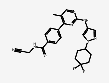 Cc1cnc(Nc2cnn(C3CCC(F)(F)CC3)c2)nc1-c1ccc(C(=O)NCC#N)cc1